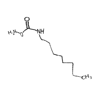 CCCCCCCCNC(=O)ON